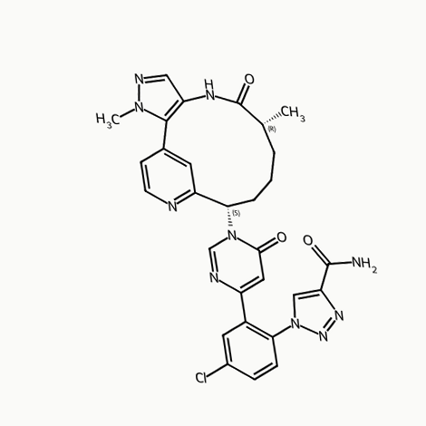 C[C@@H]1CCC[C@H](n2cnc(-c3cc(Cl)ccc3-n3cc(C(N)=O)nn3)cc2=O)c2cc(ccn2)-c2c(cnn2C)NC1=O